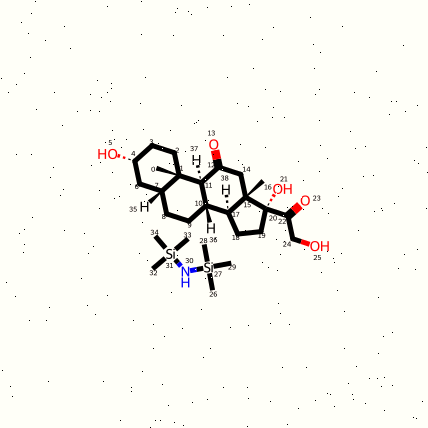 C[C@]12CC[C@@H](O)C[C@H]1CC[C@@H]1[C@@H]2C(=O)C[C@@]2(C)[C@H]1CC[C@]2(O)C(=O)CO.C[Si](C)(C)N[Si](C)(C)C